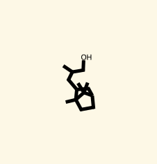 CC(CO)CC1CC2CCC1(C)C2(C)C